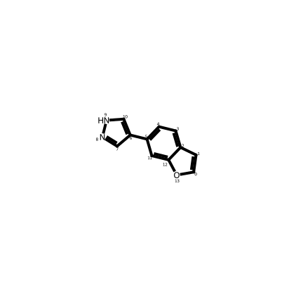 c1cc2ccc(-c3cn[nH]c3)cc2o1